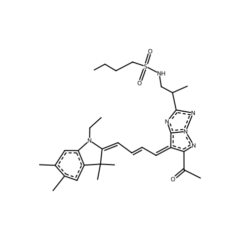 CCCCS(=O)(=O)NCC(C)c1nc2\c(=C/C=C/C=C3/N(CC)c4cc(C)c(C)cc4C3(C)C)c(C(C)=O)nn2n1